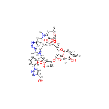 CC[C@H]1OC(=O)[C@H](C)[C@@H](O[C@H]2C[C@@](C)(OC)[C@@H](O)[C@H](C)O2)[C@H](C)[C@@H](O[C@@H]2O[C@H](C)C[C@H](N(C)CCc3cn(CCc4ccc(-n5cc(CO)nn5)cc4)nn3)[C@H]2O)[C@](C)(O)C[C@@H](C)CN(C)[C@H](C)[C@@H](O)[C@]1(C)O